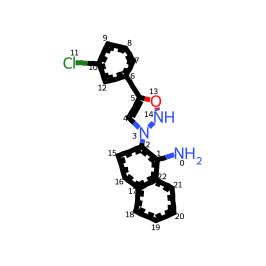 Nc1c(N2C=C(c3cccc(Cl)c3)ON2)ccc2ccccc12